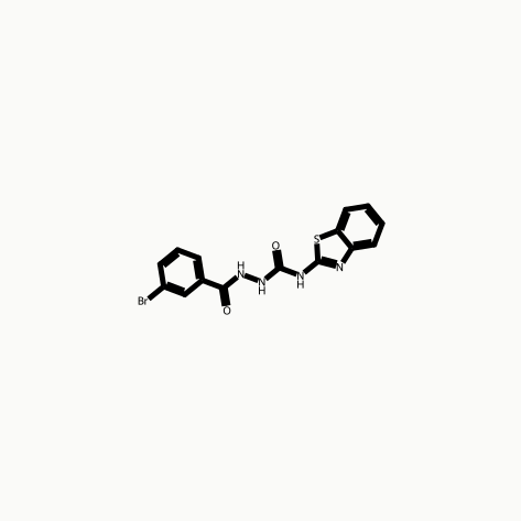 O=C(NNC(=O)c1cccc(Br)c1)Nc1nc2ccccc2s1